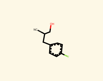 N#CC(CO)Cc1ccc(F)cc1